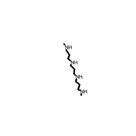 CNCCCNCCCNCCCNC